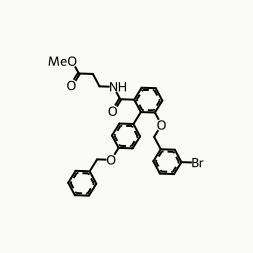 COC(=O)CCNC(=O)c1cccc(OCc2cccc(Br)c2)c1-c1ccc(OCc2ccccc2)cc1